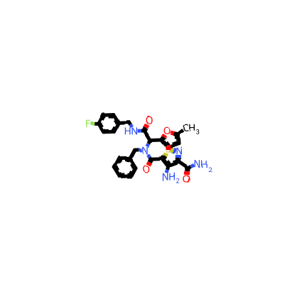 Cc1ccc(C(C(=O)NCc2ccc(F)cc2)N(Cc2ccccc2)C(=O)c2snc(C(N)=O)c2N)o1